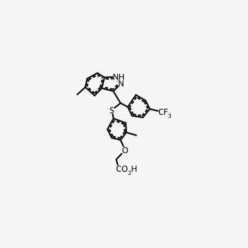 Cc1ccc2[nH]nc(C(Sc3ccc(OCC(=O)O)c(C)c3)c3ccc(C(F)(F)F)cc3)c2c1